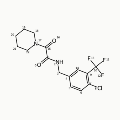 O=C(NCc1ccc(Cl)c(C(F)(F)F)c1)C(=O)N1CCCCC1